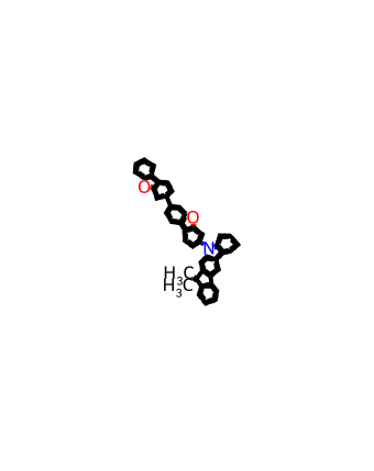 CC1(C)c2ccccc2-c2cc3c4ccccc4n(-c4ccc5c(c4)oc4cc(-c6ccc7c(c6)oc6ccccc67)ccc45)c3cc21